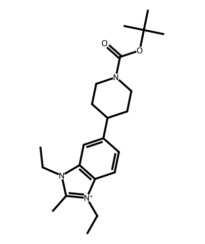 CCn1c(C)[n+](CC)c2ccc(C3CCN(C(=O)OC(C)(C)C)CC3)cc21